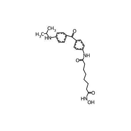 CC(C)Nc1ccc(C(=O)c2ccc(NC(=O)CCCCCCC(=O)NO)cc2)cc1